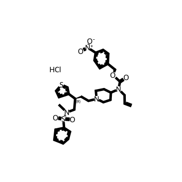 C=CCN(C(=O)OCc1ccc([N+](=O)[O-])cc1)C1CCN(CC[C@@H](CN(C)S(=O)(=O)c2ccccc2)c2ccsc2)CC1.Cl